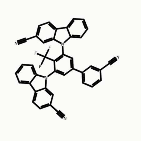 N#Cc1cccc(-c2cc(-n3c4ccccc4c4ccc(C#N)cc43)c(C(F)(F)F)c(-n3c4ccccc4c4ccc(C#N)cc43)c2)c1